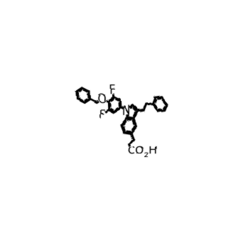 O=C(O)CCc1ccc2c(c1)c(CCc1ccccc1)cn2-c1cc(F)c(OCc2ccccc2)c(F)c1